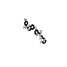 O=C(NCCCN1CCCC1=O)c1cc(Oc2ccc3nc(Nc4ccc(Br)cc4)ncc3c2)ccn1